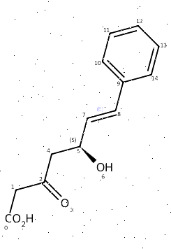 O=C(O)CC(=O)C[C@H](O)/C=C/c1ccccc1